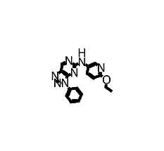 CCOc1ccc(Nc2ncc3nnn(-c4ccccc4)c3n2)cn1